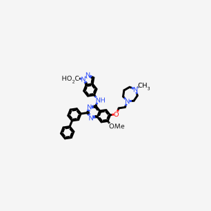 COc1cc2nc(-c3cccc(-c4ccccc4)c3)nc(Nc3ccc4c(cnn4C(=O)O)c3)c2cc1OCCN1CCCN(C)CC1